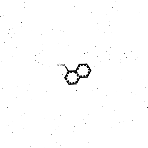 CCC[CH]Cc1cccc2ccccc12